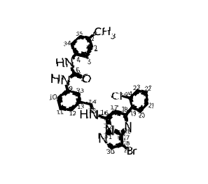 Cc1ccc(NC(=O)Nc2cccc(CNc3cc(-c4ccccc4Cl)nc4c(Br)cnn34)c2)cc1